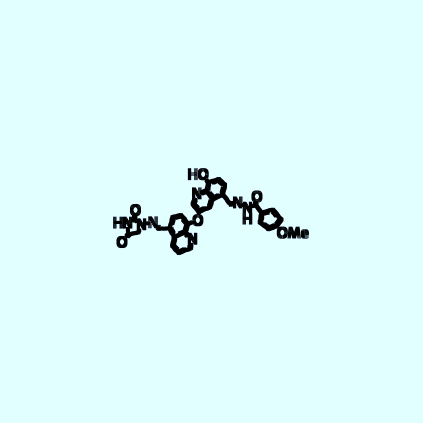 COc1ccc(C(=O)N/N=C/c2ccc(O)c3ncc(Oc4ccc(/C=N/N5CC(=O)NC5=O)c5cccnc45)cc23)cc1